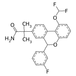 CC(C)(C(N)=O)c1ccc2c(c1)C(c1cccc(F)c1)Oc1cccc(OC(F)F)c1-2